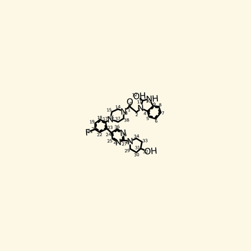 O=C(CN1c2ccccc2NC1O)N1CCN(c2ccc(F)cc2-c2cnc(N3CCC(O)CC3)nc2)CC1